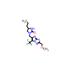 CCCC1CN(Cc2nc3sc(COC)nn3c2C(F)(F)F)C(=O)N1